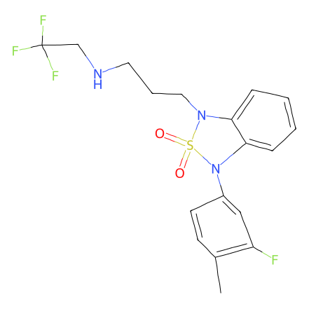 Cc1ccc(N2c3ccccc3N(CCCNCC(F)(F)F)S2(=O)=O)cc1F